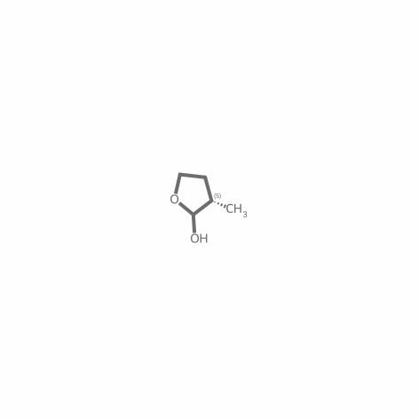 C[C@H]1CCOC1O